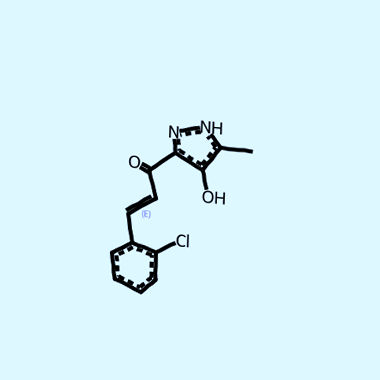 Cc1[nH]nc(C(=O)/C=C/c2ccccc2Cl)c1O